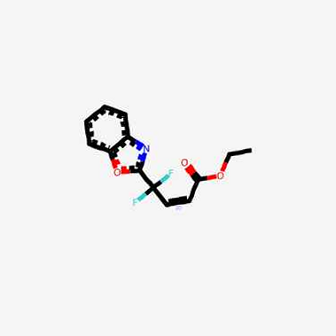 CCOC(=O)/C=C\C(F)(F)c1nc2ccccc2o1